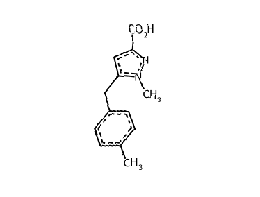 Cc1ccc(Cc2cc(C(=O)O)nn2C)cc1